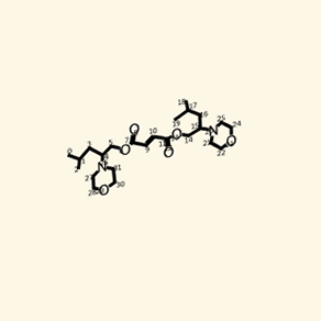 CC(C)CC(COC(=O)/C=C/C(=O)OCC(CC(C)C)N1CCOCC1)N1CCOCC1